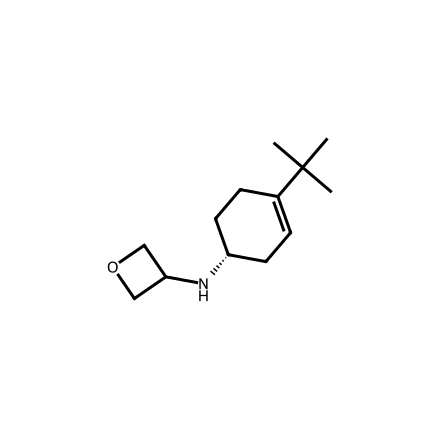 CC(C)(C)C1=CC[C@H](NC2COC2)CC1